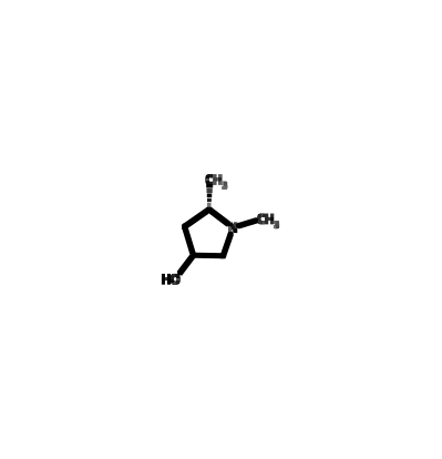 C[C@H]1CC(O)CN1C